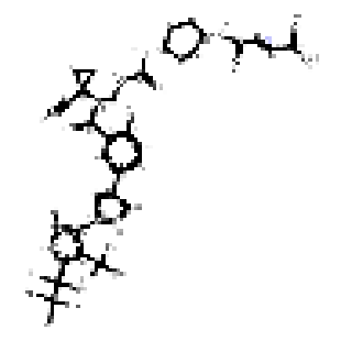 Cn1nc(C(F)(F)C(F)(F)F)c(C(F)(F)F)c1-n1cc(-c2ccc(Cl)c(C(=O)N(COC(=O)O[C@H]3CC[C@@H](OC(=O)/C=C/C(=O)O)CC3)C3(C#N)CC3)c2)cn1